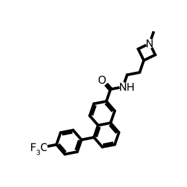 CN1CC(CCNC(=O)c2ccc3c(-c4ccc(C(F)(F)F)cc4)cccc3c2)C1